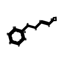 ClC=CC[CH]c1ccccc1